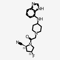 N#C[C@@H]1C[C@H](F)CN1C(=O)CN1CCC(Nc2cccc3nc[nH]c23)CC1